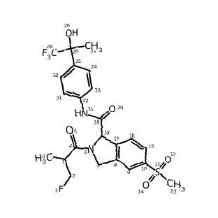 CC(CF)C(=O)N1Cc2cc(S(C)(=O)=O)ccc2C1C(=O)Nc1ccc(C(C)(O)C(F)(F)F)cc1